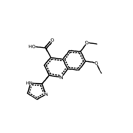 COc1cc2nc(-c3ncc[nH]3)cc(C(=O)O)c2cc1OC